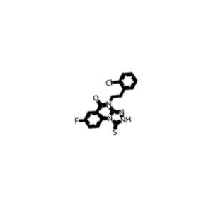 O=c1c2cc(F)ccc2n2c(=S)[nH]nc2n1CCc1ccccc1Cl